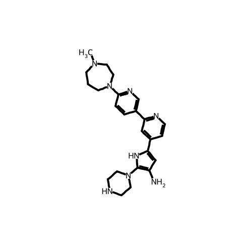 CN1CCCN(c2ccc(-c3cc(-c4cc(N)c(N5CCNCC5)[nH]4)ccn3)cn2)CC1